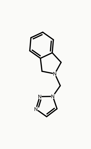 c1ccc2c(c1)CN(Cn1ccnn1)C2